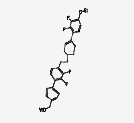 CCOc1ccc(C2=CCC(CCc3ccc(-c4ccc(CO)cc4)c(F)c3F)CC2)c(F)c1F